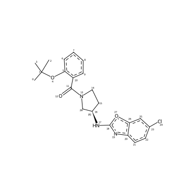 CC(C)(C)Oc1ccccc1C(=O)N1CC[C@@H](Nc2nc3ccc(Cl)cc3o2)C1